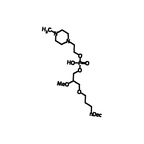 CCCCCCCCCCCCCOCC(COP(=O)(O)OCCN1CCN(C)CC1)OC